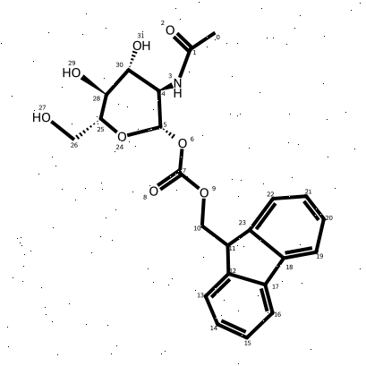 CC(=O)N[C@H]1[C@H](OC(=O)OCC2c3ccccc3-c3ccccc32)O[C@H](CO)[C@@H](O)[C@@H]1O